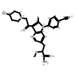 COC(Cc1cnc2c(C(=O)CN3CCC(O)CC3)c(C)n(-c3ccc(C#N)cc3)c2c1)C(N)=O